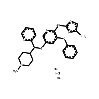 Cc1csc(Nc2ncc(SC(c3ccccn3)C3CCN(C)CC3)cc2Oc2ccccc2)n1.Cl.Cl.Cl